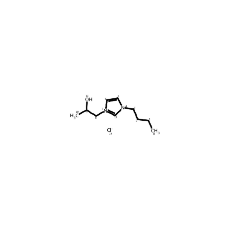 CCCCn1cc[n+](CC(C)O)c1.[Cl-]